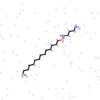 CCCCCCCCCCCCCCONCCCN